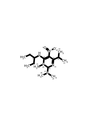 CCC(CC)NC1=C([N+](=O)[O-])C(C(C)C)=NC(N(C)C)N1N